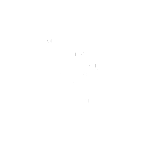 C=C.C=CC(=O)OCCO